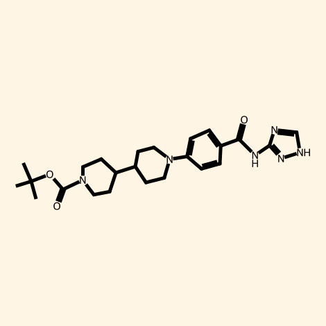 CC(C)(C)OC(=O)N1CCC(C2CCN(c3ccc(C(=O)Nc4nc[nH]n4)cc3)CC2)CC1